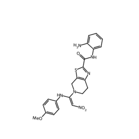 COc1ccc(N/C(=C/[N+](=O)[O-])N2CCc3nc(C(=O)Nc4ccccc4N)sc3C2)cc1